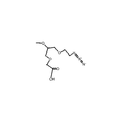 COC(COCCN=[N+]=[N-])COCC(=O)O